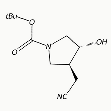 CC(C)(C)OC(=O)N1C[C@H](CC#N)[C@@H](O)C1